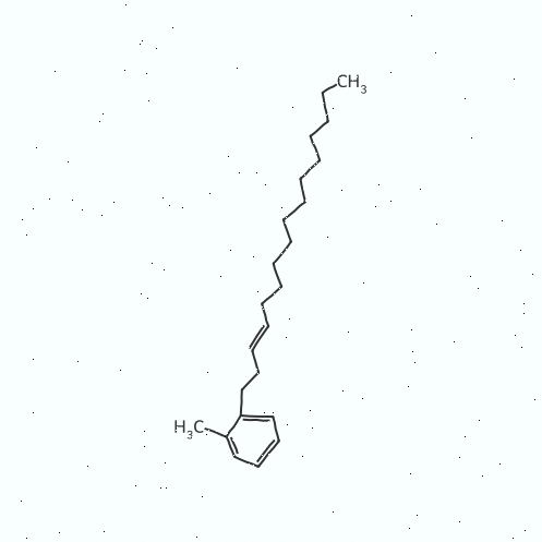 CCCCCCCCCCCCC=CCCc1ccccc1C